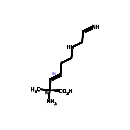 C[C@@](N)(/C=C/CCNCC=N)C(=O)O